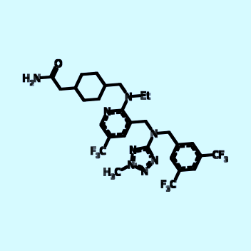 CCN(CC1CCC(CC(N)=O)CC1)c1ncc(C(F)(F)F)cc1CN(Cc1cc(C(F)(F)F)cc(C(F)(F)F)c1)c1nnn(C)n1